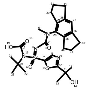 CN(C(=O)N=S(=O)(c1cnc(C(C)(C)O)s1)N(C(=O)O)C(C)(C)C)c1c2c(cc3c1CCC3)CCC2